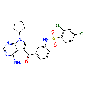 Nc1ncnc2c1c(C(=O)c1cccc(NS(=O)(=O)c3ccc(Cl)cc3Cl)c1)cn2C1CCCC1